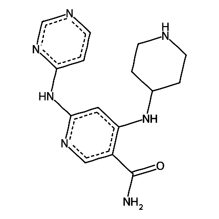 NC(=O)c1cnc(Nc2ccncn2)cc1NC1CCNCC1